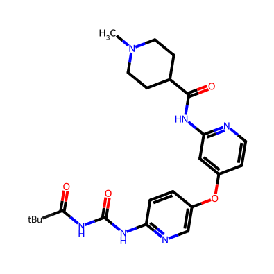 CN1CCC(C(=O)Nc2cc(Oc3ccc(NC(=O)NC(=O)C(C)(C)C)nc3)ccn2)CC1